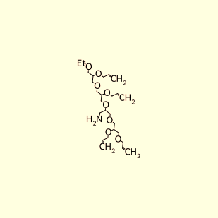 C=CCOCC(COCC(CN)OCC(COCC(COCC)OCC=C)OCC=C)OCC=C